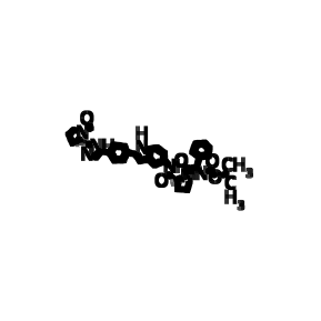 CC(C)OC(=O)N[C@@H](C(=O)N1CCC[C@H]1C(=O)Nc1ccc2[nH]c(-c3ccc(-c4cnc([C@@H]5CCCN5C=O)[nH]4)cc3)cc2c1)c1ccccc1